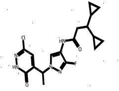 CC(c1cc(Cl)n[nH]c1=O)n1cc(NC(=O)CC(C2CC2)C2CC2)c(F)n1